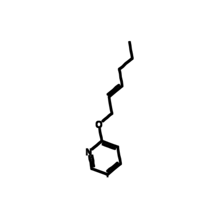 CCCC=CCOc1cc[c]cn1